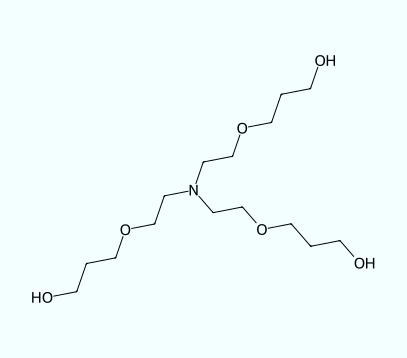 OCCCOCCN(CCOCCCO)CCOCCCO